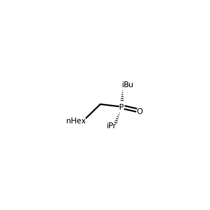 CCCCCCC[P@@](=O)(C(C)C)[C@@H](C)CC